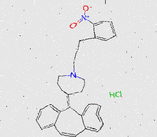 Cl.O=[N+]([O-])c1ccccc1CCCN1CCC(=C2c3ccccc3C=Cc3ccccc32)CC1